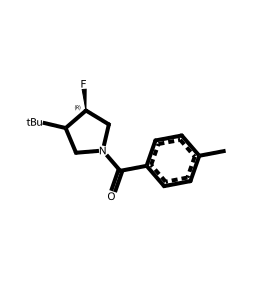 Cc1ccc(C(=O)N2CC(C(C)(C)C)[C@@H](F)C2)cc1